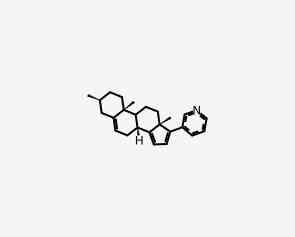 C[C@H]1CC[C@@]2(C)C(=CC[C@H]3C4=CC=C(c5cccnc5)[C@@]4(C)CCC32)C1